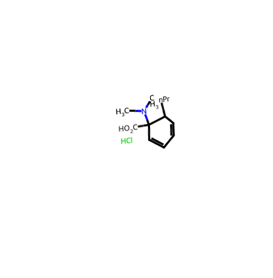 CCCC1C=CC=CC1(C(=O)O)N(C)C.Cl